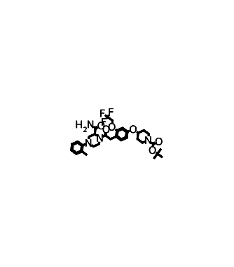 Cc1ccccc1N1CCN(C(=O)Cc2ccc(OC3CCN(C(=O)OC(C)(C)C)CC3)cc2OCC(F)(F)F)C(C(N)=O)C1